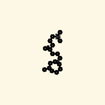 c1ccc(-c2cccc(-c3cccc(-c4ccc5c(c4)c4cc(-c6cccc(-c7cccc(-c8ccccc8)c7)c6)ccc4n5-c4cccc(-c5cccc(-c6cccc(-c7cc(-c8cccc(-c9cccc(-c%10cccc(-c%11nc(-c%12ccccc%12)nc(-c%12ccccc%12)n%11)c%10)c9)c8)c8oc9ccccc9c8c7)c6)c5)c4)c3)c2)cc1